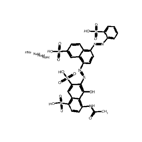 CC(=O)Nc1ccc(S(=O)(=O)O)c2cc(S(=O)(=O)O)c(/N=N/c3ccc(/N=N/c4ccccc4S(=O)(=O)O)c4ccc(S(=O)(=O)O)cc34)c(O)c12.[NaH].[NaH].[NaH].[NaH]